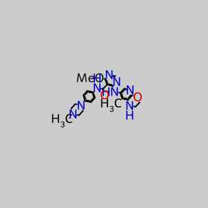 COc1ncnc(Nc2cnc3c(c2C)NCCO3)c1C(=O)Nc1ccc(N2CCN(C)CC2)cc1